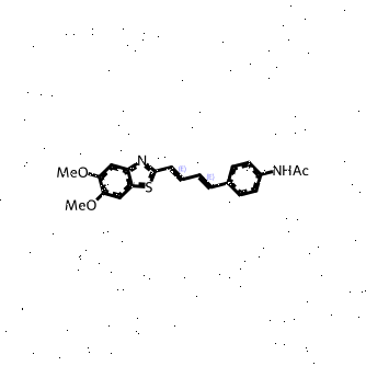 COc1cc2nc(/C=C/C=C/c3ccc(NC(C)=O)cc3)sc2cc1O[11CH3]